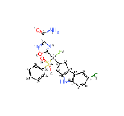 NC(=O)c1noc(C(F)(C2Cc3[nH]c4ccc(Cl)cc4c3C2)S(=O)(=O)c2ccccc2)n1